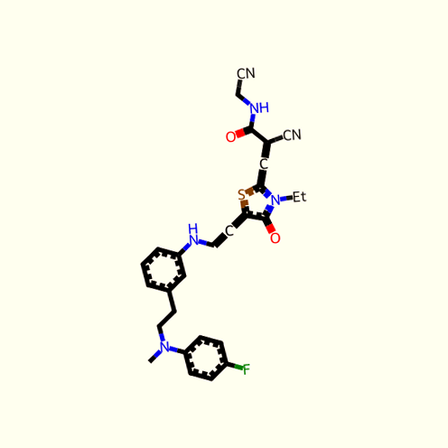 CCn1c(=C=C(C#N)C(=O)NCC#N)sc(=C=CNc2cccc(CCN(C)c3ccc(F)cc3)c2)c1=O